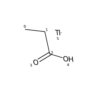 CCC(=O)O.[Tl]